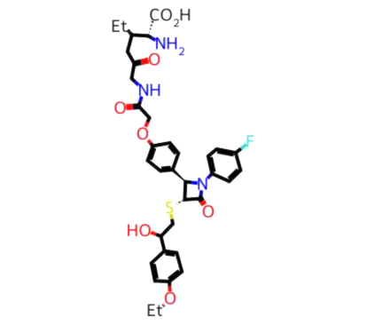 CCOc1ccc(C(O)CS[C@H]2C(=O)N(c3ccc(F)cc3)[C@@H]2c2ccc(OCC(=O)NCC(=O)CC(CC)[C@@H](N)C(=O)O)cc2)cc1